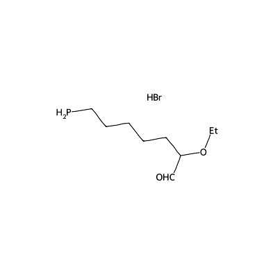 Br.CCOC(C=O)CCCCCP